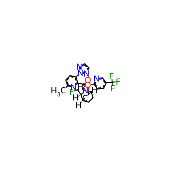 Cc1ccc(-n2nccn2)c(C(=O)N2[C@H](CF)[C@@H]3CC[C@H]2[C@H](Oc2ccc(C(F)(F)F)cn2)C3)n1